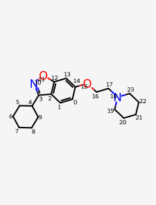 c1cc2c(C3CCCCC3)noc2cc1OCCN1CCCCC1